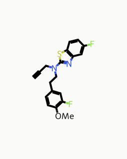 C#CCN(CCc1ccc(OC)c(F)c1)c1nc2cc(F)ccc2s1